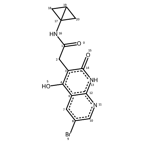 O=C(Cc1c(O)c2cc(Br)cnc2[nH]c1=O)NC12CC1C2